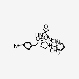 CC(C)(c1ccccn1)N1CC[C@@](CCc2ccc(C#N)cc2)(S(=O)(=O)NC2(C#N)COC2)C1